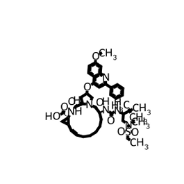 CCS(=O)(=O)N(C)CC(NC(=O)N[C@H]1CCCCC/C=C\C2C[C@@]2(C(=O)O)NC(=O)[C@@H]2CC(Oc3cc(-c4ccccc4)nc4cc(OC)ccc34)CN2C1=O)C(C)(C)C